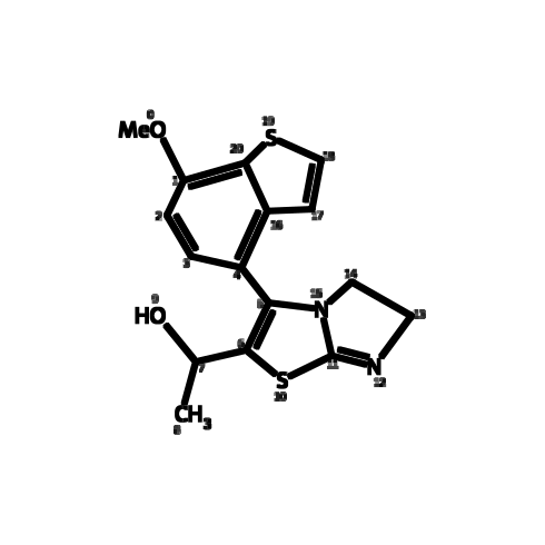 COc1ccc(C2=C(C(C)O)SC3=NCCN32)c2ccsc12